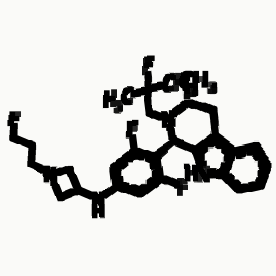 C[C@@H]1Cc2c([nH]c3ccccc23)[C@@H](c2c(F)cc(NC3CN(CCCF)C3)cc2F)N1CC(C)(C)F